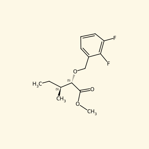 CC[C@H](C)[C@H](OCc1cccc(F)c1F)C(=O)OC